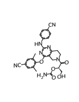 Cc1cc(C#N)cc(C)c1Oc1nc(Nc2ccc(C#N)cc2)nc2c1CN(C(=O)[C@@H](CO)OC(N)=O)CC2